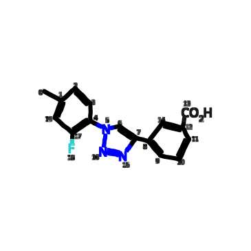 Cc1ccc(-n2cc(-c3cccc(C(=O)O)c3)nn2)c(F)c1